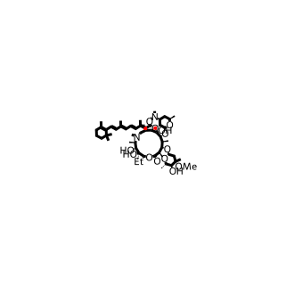 CC[C@H]1OC(=O)[C@H](C)[C@@H](O[C@H]2C[C@@](C)(OC)[C@@H](O)[C@H](C)O2)[C@H](C)[C@@H](O[C@@H]2O[C@H](C)C[C@H](N(C)C)[C@H]2OC(=O)/C=C(C)/C=C/C=C(C)/C=C/C2=C(C)CCCC2(C)C)[C@](C)(O)C[C@@H](C)CN(C)[C@H](C)[C@@H](O)[C@]1(C)O